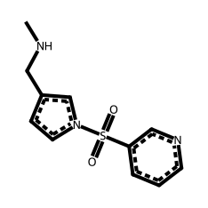 CNCc1ccn(S(=O)(=O)c2cccnc2)c1